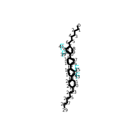 CCCCCCCc1ccc(-c2ccc(-c3ccc(C4=CCC(CCCCCCC)CC4)c(F)c3F)cc2)c(F)c1F